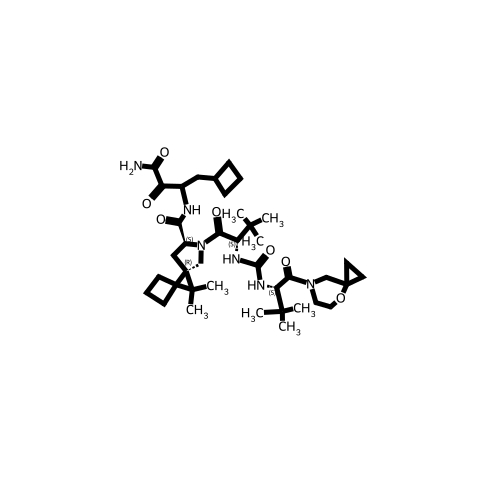 CC(C)(C)[C@H](NC(=O)N[C@H](C(=O)N1C[C@]2(C[C@H]1C(=O)NC(CC1CCC1)C(=O)C(N)=O)C(C)(C)C21CCC1)C(C)(C)C)C(=O)N1CCOC2(CC2)C1